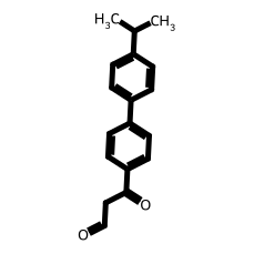 CC(C)c1ccc(-c2ccc(C(=O)CC=O)cc2)cc1